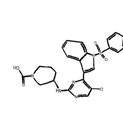 O=C(O)N1CCC[C@@H](Nc2ncc(Cl)c(-c3cn(S(=O)(=O)c4ccccc4)c4ccccc34)n2)C1